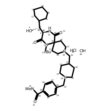 CCCCN1C(=O)[C@@H]([C@H](O)C2CCCCC2)NC(=O)C12CCN(CC1CCN(Cc3ccc(C(=O)NC)cc3)CC1)CC2.Cl.Cl